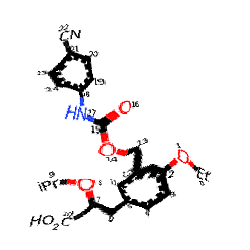 CCOc1ccc(CC(OC(C)C)C(=O)O)cc1COC(=O)Nc1ccc(C#N)cc1